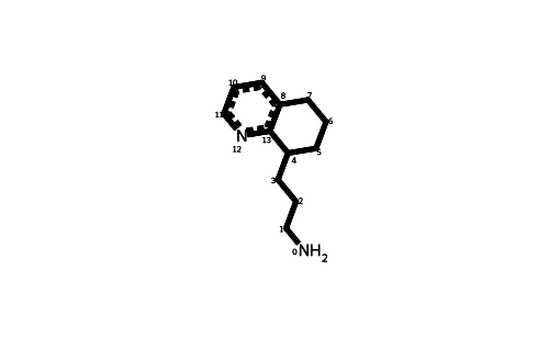 NCCCC1CCCc2cccnc21